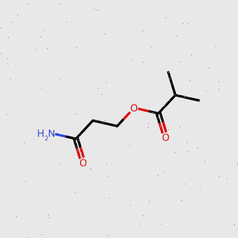 CC(C)C(=O)OCCC(N)=O